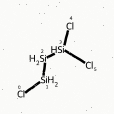 Cl[SiH2][SiH2][SiH](Cl)Cl